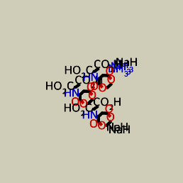 N.N.N.O=C(O)CC(NC1CC(=O)OCCOC1=O)C(=O)O.O=C(O)CC(NC1CC(=O)OCCOC1=O)C(=O)O.O=C(O)CC(NC1CC(=O)OCCOC1=O)C(=O)O.[NaH].[NaH].[NaH]